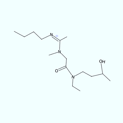 CCCC/N=C(/C)N(C)CC(=O)N(CC)CCC(C)O